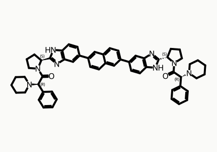 O=C([C@@H](c1ccccc1)N1CCCCC1)N1CCC[C@H]1c1nc2cc(-c3ccc4cc(-c5ccc6[nH]c([C@@H]7CCCN7C(=O)[C@@H](c7ccccc7)N7CCCCC7)nc6c5)ccc4c3)ccc2[nH]1